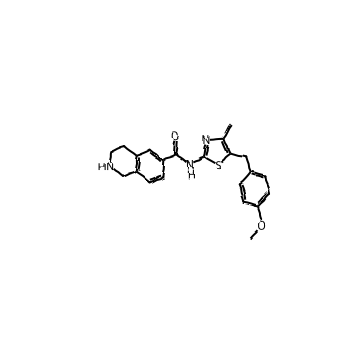 COc1ccc(Cc2sc(NC(=O)c3ccc4c(c3)CCNC4)nc2C)cc1